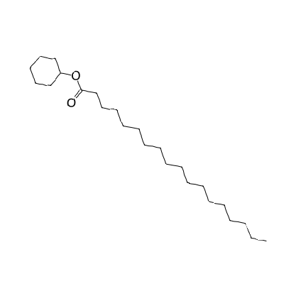 CCCCCCCCCCCCCCCCCC(=O)OC1CCCCC1